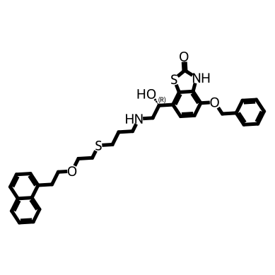 O=c1[nH]c2c(OCc3ccccc3)ccc([C@@H](O)CNCCCSCCOCCc3cccc4ccccc34)c2s1